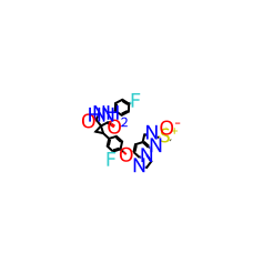 C[S+]([O-])c1ncc2c(n1)N1CCN=C1C(Oc1ccc(C3CC3(C(N)=O)C(=O)Nc3ccc(F)cc3)cc1F)=C2